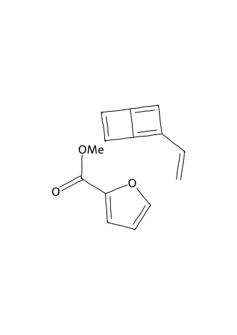 C=Cc1cc2ccc1-2.COC(=O)c1ccco1